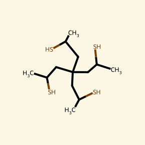 CC(S)CC(CC(C)S)(CC(C)S)CC(C)S